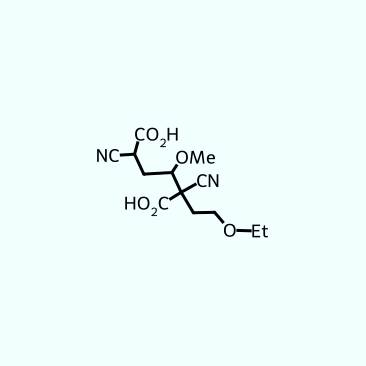 CCOCCC(C#N)(C(=O)O)C(CC(C#N)C(=O)O)OC